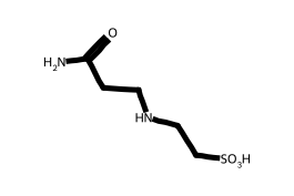 NC(=O)CCNCCS(=O)(=O)O